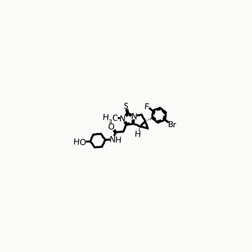 Cn1c(CC(=O)NC2CCC(O)CC2)c2n(c1=S)C[C@@]1(c3cc(Br)ccc3F)C[C@@H]21